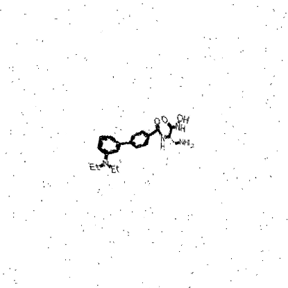 CCN(CC)c1cccc(-c2ccc(C(=O)N[C@@H](CN)C(=O)NO)cc2)c1